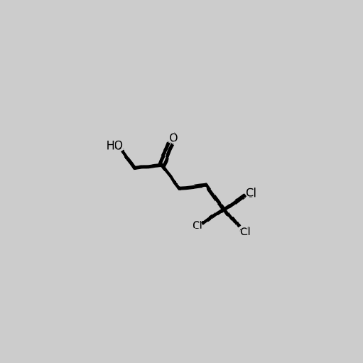 O=C(CO)CCC(Cl)(Cl)Cl